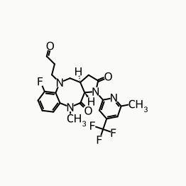 Cc1cc(C(F)(F)F)cc(N2C(=O)C[C@@H]3CN(CCC=O)c4c(F)cccc4N(C)C(=O)[C@H]32)n1